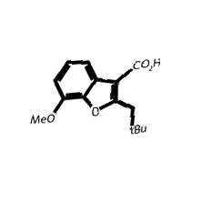 COc1cccc2c(C(=O)O)c(CC(C)(C)C)oc12